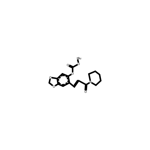 CC(C)(C)OC(=O)Oc1cc2c(cc1/C=C/C(=O)N1CCCCC1)OCO2